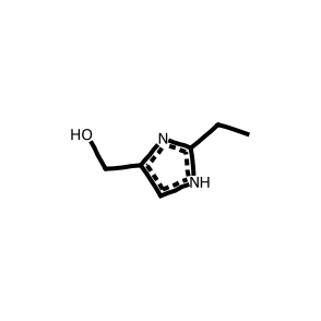 CCc1nc(CO)c[nH]1